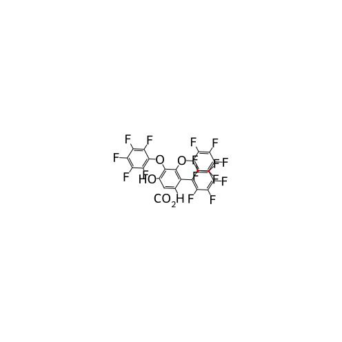 O=C(O)c1cc(O)c(Oc2c(F)c(F)c(F)c(F)c2F)c(Oc2c(F)c(F)c(F)c(F)c2F)c1-c1c(F)c(F)c(F)c(F)c1F